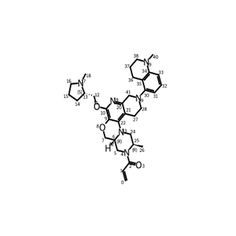 C=CC(=O)N1C[C@@H]2COc3c(OC[C@@H]4CCCN4C)nc4c(c3N2C[C@H]1C)CCN(c1cccc2c1CCCN2C)C4